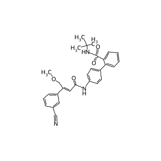 COCC(=CC(=O)Nc1ccc(-c2ccccc2S(=O)(=O)NC(C)(C)C)cc1)c1cccc(C#N)c1